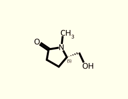 CN1C(=O)CC[C@H]1CO